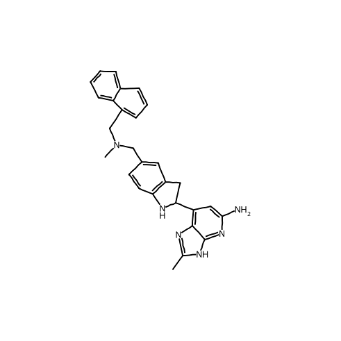 Cc1nc2c(C3Cc4cc(CN(C)Cc5cccc6ccccc56)ccc4N3)cc(N)nc2[nH]1